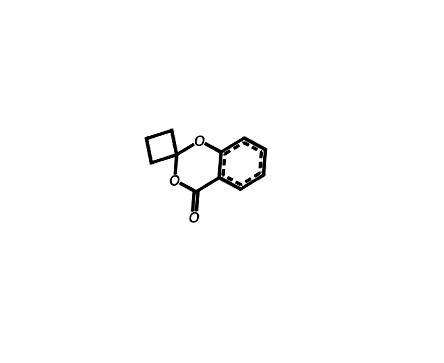 O=C1OC2(CCC2)Oc2ccccc21